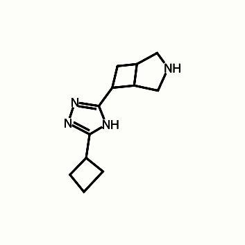 C1CC(c2nnc(C3CC4CNCC43)[nH]2)C1